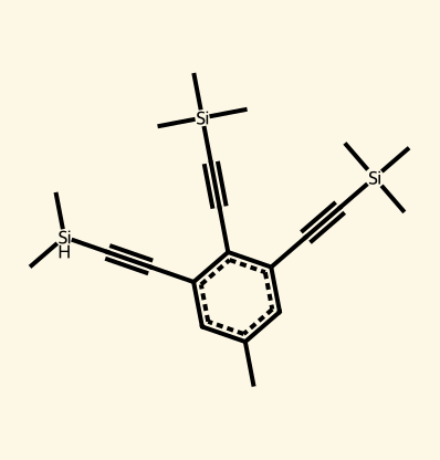 Cc1cc(C#C[SiH](C)C)c(C#C[Si](C)(C)C)c(C#C[Si](C)(C)C)c1